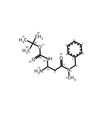 CN(Cc1ccccc1)C(=O)CC(N)NC(=O)OC(C)(C)C